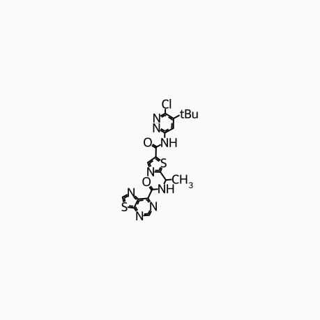 CC(NC(=O)c1ncnc2scnc12)c1ncc(C(=O)Nc2cc(C(C)(C)C)c(Cl)nn2)s1